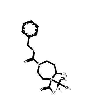 C[C@@H]1CCN(C(=O)OCc2ccccc2)CC[N+]1(C(=O)[O-])C(C)(C)C